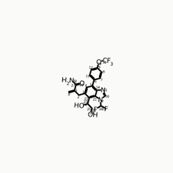 C=C(Cc1cc(-c2ccc(OC(F)(F)F)cc2)c2ncn(C(F)F)c2c1C(O)CO)C(N)=O